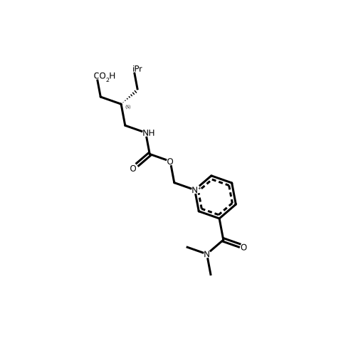 CC(C)C[C@H](CNC(=O)OC[n+]1cccc(C(=O)N(C)C)c1)CC(=O)O